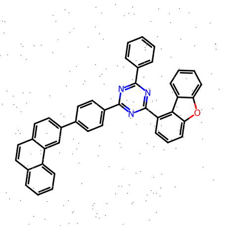 c1ccc(-c2nc(-c3ccc(-c4ccc5ccc6ccccc6c5c4)cc3)nc(-c3cccc4oc5ccccc5c34)n2)cc1